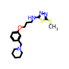 CSc1nnc(NCCCOc2cccc(CN3CCCCC3)c2)s1